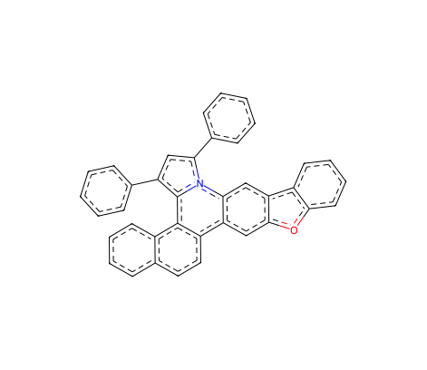 c1ccc(-c2cc(-c3ccccc3)n3c4cc5c(cc4c4ccc6ccccc6c4c23)oc2ccccc25)cc1